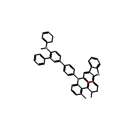 Cc1cccc(N(c2ccc(-c3ccc(N(C)C4=CC=CCC4)c(-c4ccccc4)c3)cc2)c2ccc3sc4ccccc4c3c2)c1C1=CC=CCC1C